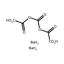 O=C(OC(=O)C(=O)O)OC(=O)C(=O)O.[BaH2].[BaH2]